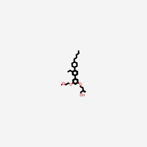 C=C(CO)CCOc1cc(OCCOC)cc(-c2ccc(C3CCC(CCCCC)CC3)c(CC)c2)c1